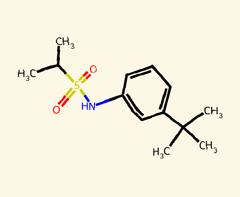 CC(C)S(=O)(=O)Nc1cccc(C(C)(C)C)c1